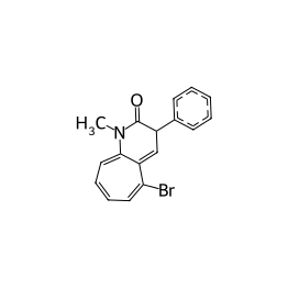 CN1C(=O)C(c2ccccc2)C=C2C(Br)=CC=CC=C21